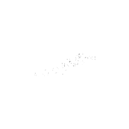 CC(=O)c1ccc(-c2ccc(-c3nc4nc(O[C@@H]5COC6[C@H](O)CO[C@@H]65)[nH]c4cc3Cl)cc2)cc1